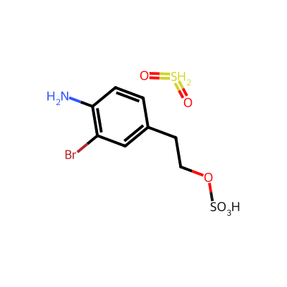 Nc1ccc(CCOS(=O)(=O)O)cc1Br.O=[SH2]=O